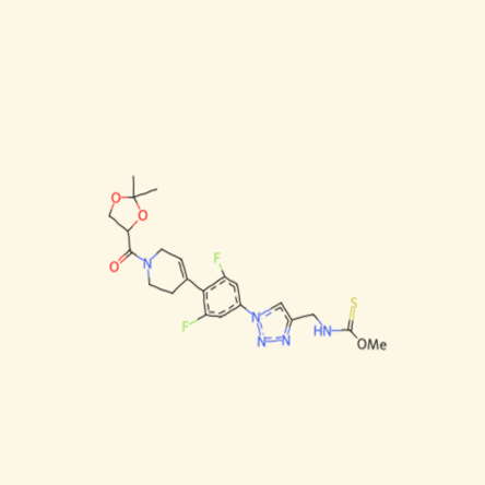 COC(=S)NCc1cn(-c2cc(F)c(C3=CCN(C(=O)C4COC(C)(C)O4)CC3)c(F)c2)nn1